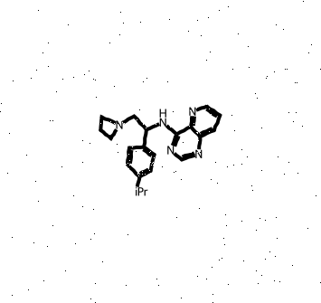 CC(C)c1ccc(C(CN2CCC2)Nc2ncnc3cccnc23)cc1